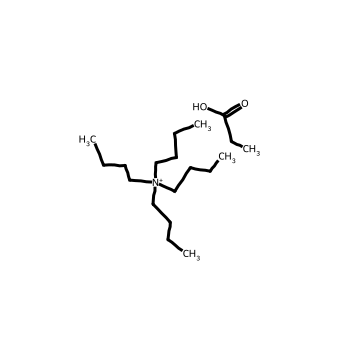 CCC(=O)O.CCCC[N+](CCCC)(CCCC)CCCC